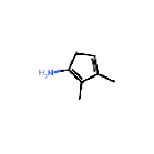 CC1=CCC(N)=C1C